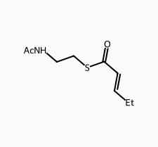 CC/C=C/C(=O)SCCNC(C)=O